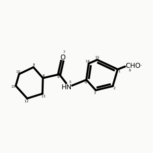 O=[C]c1ccc(NC(=O)C2CCCCC2)cc1